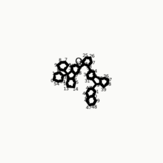 c1ccc(C2(c3ccccc3)c3ccccc3-c3cc4c(cc32)oc2cccc(-c3ccc5c(c3)-c3ccccc3C5c3ccc5ccccc5c3)c24)cc1